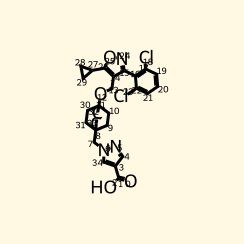 O=C(O)c1cnn(CC23CCC(OCc4c(-c5c(Cl)cccc5Cl)noc4C4CC4)(CC2)CC3)c1